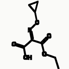 CCOC(=O)C(=NOC1CC1)C(=O)O